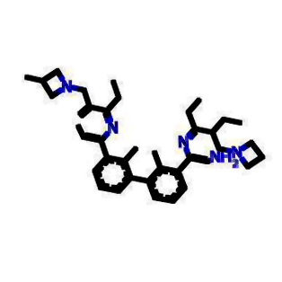 C=C(CN1CC(C)C1)/C(CC)=N\C(=C/C)c1cccc(-c2cccc(C(=C/N)/N=C(/CC)C(CC)CN3CCC3)c2C)c1C